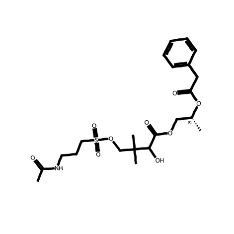 CC(=O)NCCCS(=O)(=O)OCC(C)(C)C(O)C(=O)OC[C@@H](C)OC(=O)Cc1ccccc1